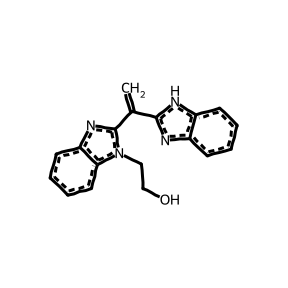 C=C(c1nc2ccccc2[nH]1)c1nc2ccccc2n1CCO